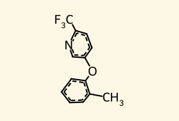 Cc1ccccc1Oc1ccc(C(F)(F)F)nc1